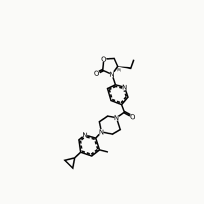 CC[C@@H]1COC(=O)N1c1ccc(C(=O)N2CCN(c3ncc(C4CC4)cc3C)CC2)cn1